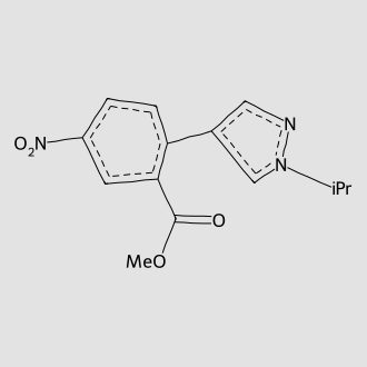 COC(=O)c1cc([N+](=O)[O-])ccc1-c1cnn(C(C)C)c1